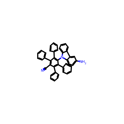 N#Cc1c(-c2ccccc2)c(-c2ccccc2)c(-n2c3ccccc3c3cc(N)ccc32)c(-c2ccccc2)c1-c1ccccc1